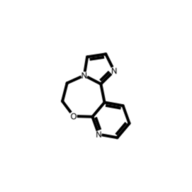 c1cnc2c(c1)-c1nccn1CCO2